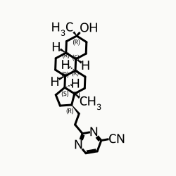 C[C@@]1(O)CC[C@H]2[C@H](CC[C@@H]3[C@@H]2CC[C@]2(C)[C@@H](CCc4nccc(C#N)n4)CC[C@@H]32)C1